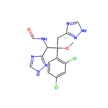 COC(Cc1nc[nH]n1)(c1ccc(Cl)cc1Cl)C(NC=O)c1nc[nH]n1